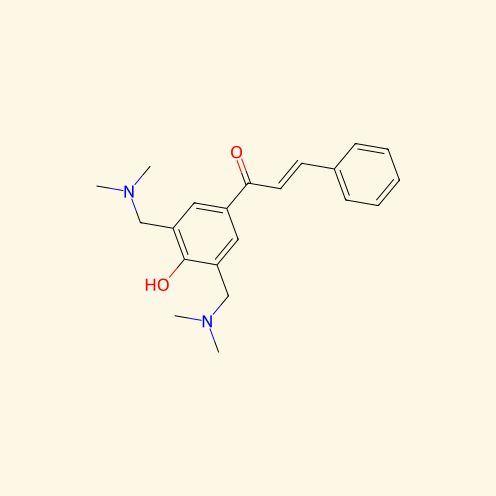 CN(C)Cc1cc(C(=O)/C=C/c2ccccc2)cc(CN(C)C)c1O